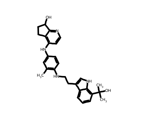 Cc1cc(Nc2ccnc3c2CCC3O)ccc1NCCc1c[nH]c2c(C(C)(C)O)cccc12